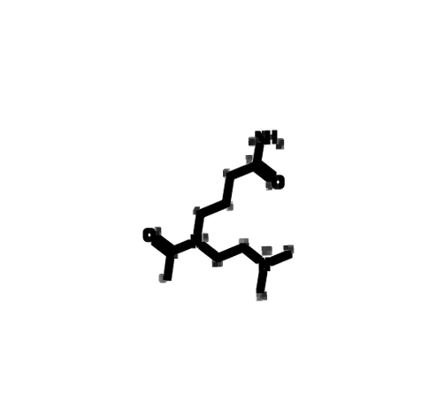 CC(=O)N(CCCC(N)=O)CCN(C)C